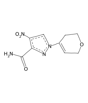 NC(=O)c1nn(C2=CCOCC2)cc1[N+](=O)[O-]